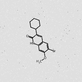 COc1cc2[nH]c(=O)c(C3CCCCC3)cc2cc1Br